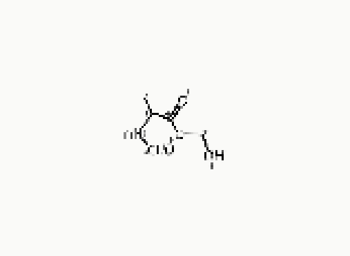 CC(NC=O)C(=O)OCO